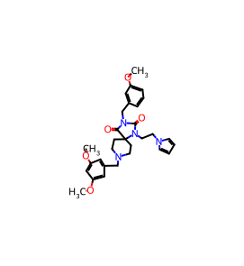 COc1cccc(CN2C(=O)N(CCn3cccc3)C3(CCN(Cc4cc(OC)cc(OC)c4)CC3)C2=O)c1